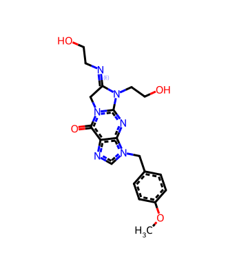 COc1ccc(Cn2cnc3c(=O)n4c(nc32)N(CCO)/C(=N/CCO)C4)cc1